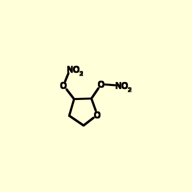 O=[N+]([O-])OC1CCOC1O[N+](=O)[O-]